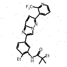 CCc1ccc(-c2cn3nc(-c4cccnc4C(F)(F)F)ccc3n2)cc1NC(=O)C(C)(C)CC